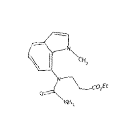 CCOC(=O)CCN(C(N)=O)c1cccc2ccn(C)c12